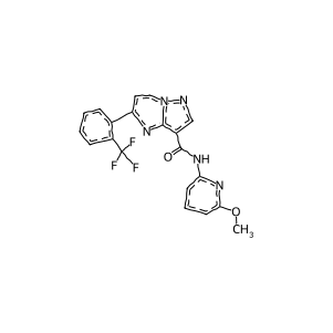 COc1cccc(NC(=O)c2cnn3ccc(-c4ccccc4C(F)(F)F)nc23)n1